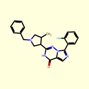 CC1CN(Cc2ccccc2)CC1c1nn2c(-c3ccccc3F)ncc2c(=O)[nH]1